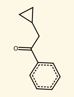 O=C(CC1CC1)c1ccccc1